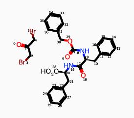 O=C(CBr)CBr.O=C(N[C@@H](Cc1ccccc1)C(=O)N[C@@H](Cc1ccccc1)C(=O)O)OCc1ccccc1